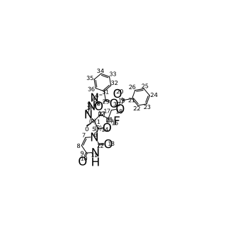 C[C@]1(N=[N+]=[N-])[C@H](n2ccc(=O)[nH]c2=O)O[C@](F)(COC(=O)c2ccccc2)[C@H]1OC(=O)c1ccccc1